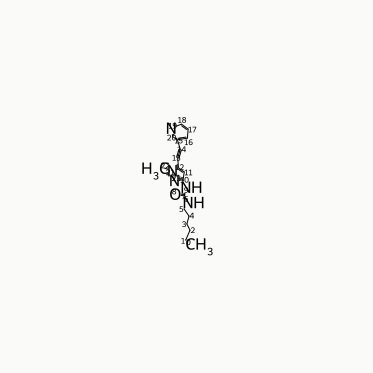 CCCCCCNC(=O)Nc1cc(C#Cc2cccnc2)n(C)n1